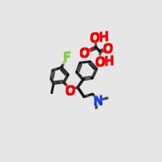 Cc1ccc(F)cc1OC(CCN(C)C)c1ccccc1.O=C(O)C(=O)O